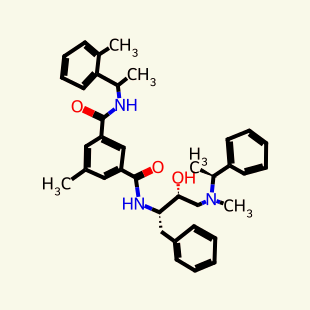 Cc1cc(C(=O)NC(C)c2ccccc2C)cc(C(=O)N[C@@H](Cc2ccccc2)[C@H](O)CN(C)[C@@H](C)c2ccccc2)c1